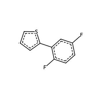 Fc1ccc(F)c(-c2c[c]cs2)c1